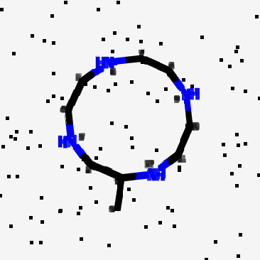 CC1CNCCNCCNCCN1